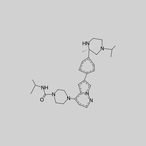 CC(C)NC(=O)N1CCN(c2ccnn3cc(-c4ccc([C@]5(C)CN(C(C)C)CCN5)cc4)cc23)CC1